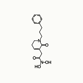 O=C(CC1=CCCN(CCCc2ccccc2)C1=O)N(O)O